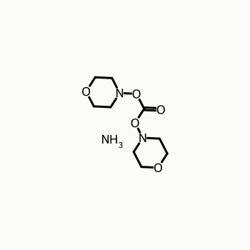 N.O=C(ON1CCOCC1)ON1CCOCC1